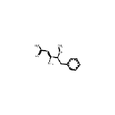 CNC(Cc1ccccc1)/C(N)=C/C(C)=N